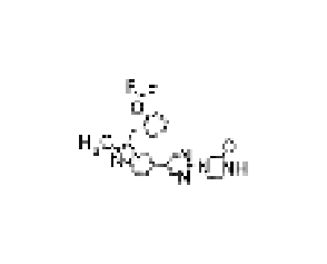 Cc1nc2ccc(-c3cnc(N4CCNC(=O)C4)nc3)cn2c1Cc1ccccc1OC(F)F